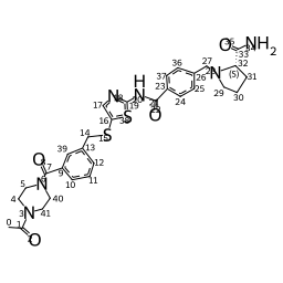 CC(=O)N1CCN(C(=O)c2cccc(CSc3cnc(NC(=O)c4ccc(CN5CCC[C@H]5C(N)=O)cc4)s3)c2)CC1